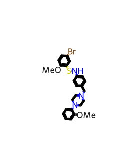 COc1ccc(Br)cc1SNc1ccc(CN2CCN(c3ccccc3OC)CC2)cc1